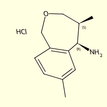 Cc1ccc2c(c1)[C@H](N)[C@H](C)COC2.Cl